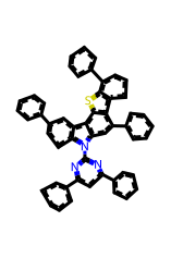 c1ccc(-c2ccc3c(c2)c2c4sc5c(-c6ccccc6)cccc5c4c(-c4ccccc4)cc2n3-c2nc(-c3ccccc3)cc(-c3ccccc3)n2)cc1